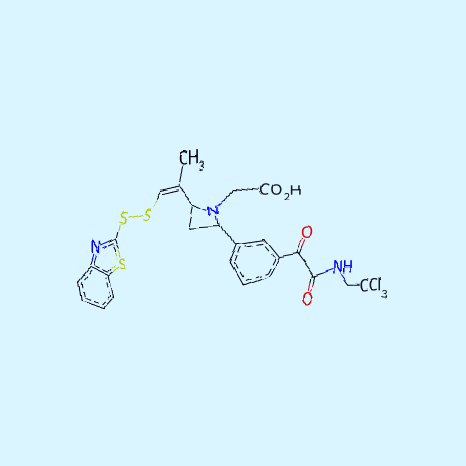 CC(=CSSc1nc2ccccc2s1)C1CC(c2cccc(C(=O)C(=O)NCC(Cl)(Cl)Cl)c2)N1CC(=O)O